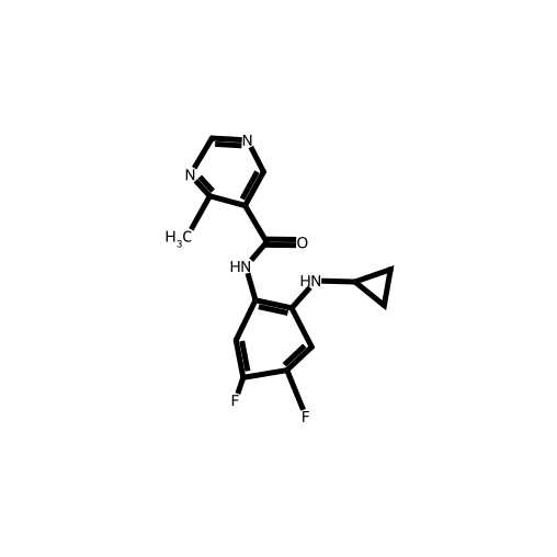 Cc1ncncc1C(=O)Nc1cc(F)c(F)cc1NC1CC1